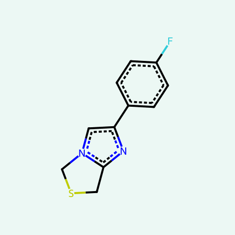 Fc1ccc(-c2cn3c(n2)CSC3)cc1